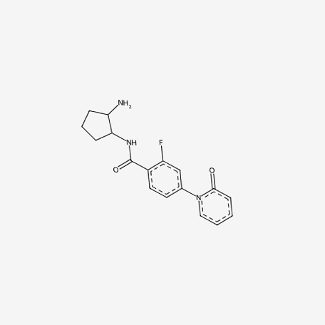 NC1CCCC1NC(=O)c1ccc(-n2ccccc2=O)cc1F